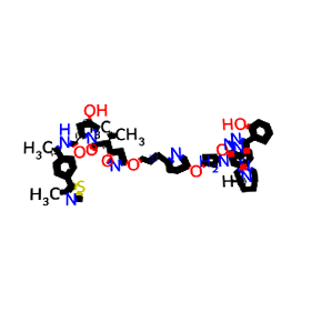 Cc1ncsc1-c1ccc([C@H](C)NC(=O)[C@@H]2C[C@@H](O)CN2C(=O)[C@@H](c2cc(OC/C=C/c3ccc(OC4CC(Oc5cc(N6C7CC[C@@H]6CN(c6cc(-c8ccccc8O)nnc6N)C7)ccn5)C4)cn3)no2)C(C)C)cc1